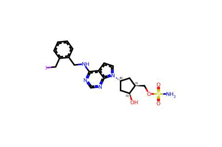 NS(=O)(=O)OC[C@@H]1C[C@@H](n2ccc3c(NCc4ccccc4CI)ncnc32)C[C@@H]1O